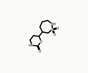 O=C1NCCC(C2CCCNS(=O)(=O)C2)O1